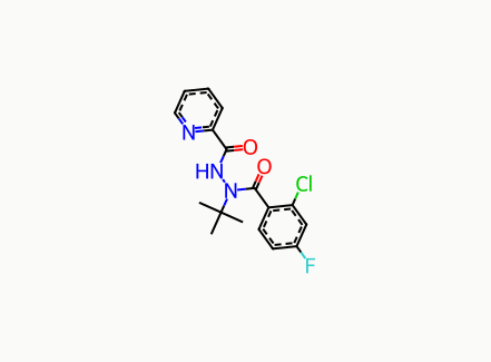 CC(C)(C)N(NC(=O)c1ccccn1)C(=O)c1ccc(F)cc1Cl